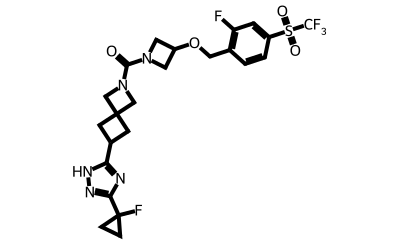 O=C(N1CC(OCc2ccc(S(=O)(=O)C(F)(F)F)cc2F)C1)N1CC2(CC(c3nc(C4(F)CC4)n[nH]3)C2)C1